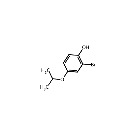 CC(C)Oc1ccc(O)c(Br)c1